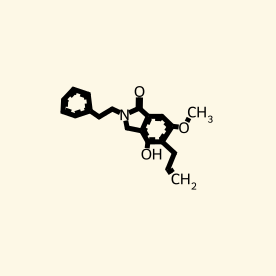 C=CCc1c(OC)cc2c(c1O)CN(CCc1ccccc1)C2=O